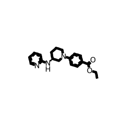 CCOC(=O)c1ccc(N2CCC[C@H](Nc3ccccn3)C2)cc1